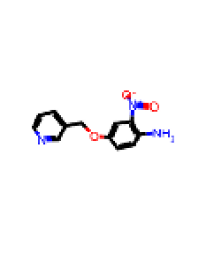 Nc1ccc(OCc2cccnc2)cc1[N+](=O)[O-]